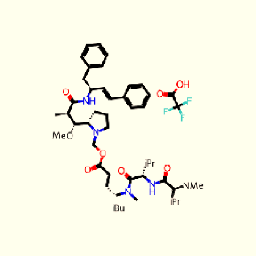 CC[C@H](C)[C@H](CCC(=O)OCN1CCC[C@H]1[C@H](OC)[C@@H](C)C(=O)N[C@H](/C=C/c1ccccc1)Cc1ccccc1)N(C)C(=O)[C@@H](NC(=O)[C@@H](NC)C(C)C)C(C)C.O=C(O)C(F)(F)F